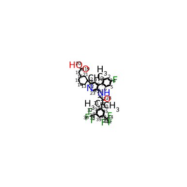 Cc1cc(F)ccc1-c1cc(C2(C)CCCC(CC(=O)O)C2)ncc1NCC(=O)C(C)(C)c1cc(C(F)(F)F)cc(C(F)(F)F)c1